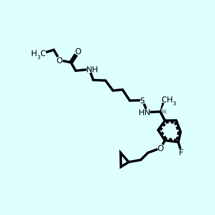 CCOC(=O)CNCCCCCSN[C@@H](C)c1ccc(F)c(OCCC2CC2)c1